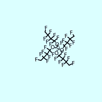 FCC(F)(F)C(F)(F)C(F)(F)O[Si](OC(F)(F)C(F)(F)C(F)(F)CF)(OC(F)(F)C(F)(F)C(F)(F)CF)OC(F)(F)C(F)(F)C(F)(F)CF